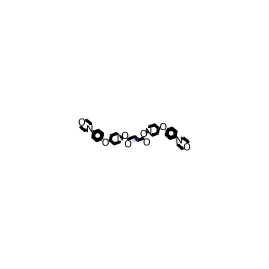 O=C(/C=C/C(=O)ON1CCC(Oc2ccc(N3CCOCC3)cc2)CC1)ON1CCC(Oc2ccc(N3CCOCC3)cc2)CC1